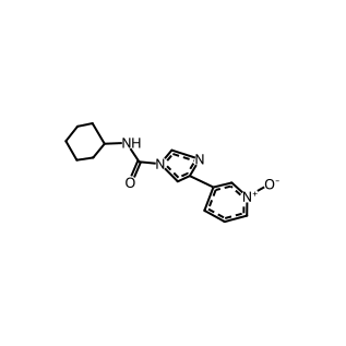 O=C(NC1CCCCC1)n1cnc(-c2ccc[n+]([O-])c2)c1